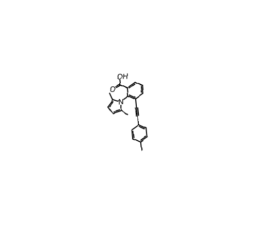 Cc1ccc(C#Cc2cccc(C(=O)O)c2-n2c(C)ccc2C)cc1